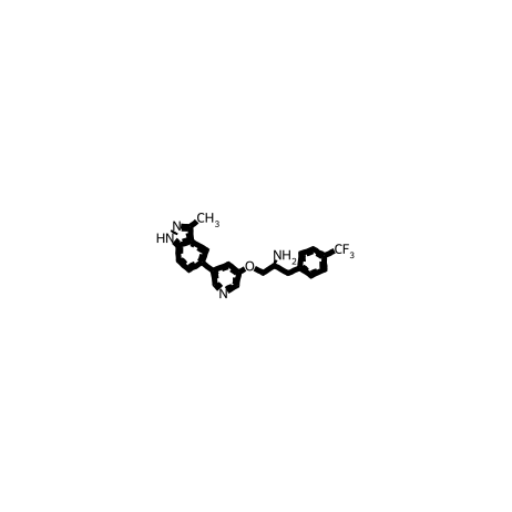 Cc1n[nH]c2ccc(-c3cncc(OC[C@@H](N)Cc4ccc(C(F)(F)F)cc4)c3)cc12